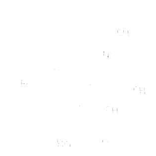 CC1=[N+](C)c2ccccc2C1(C)CC(=O)O.[Br-]